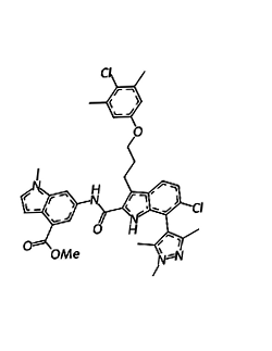 COC(=O)c1cc(NC(=O)c2[nH]c3c(-c4c(C)nn(C)c4C)c(Cl)ccc3c2CCCOc2cc(C)c(Cl)c(C)c2)cc2c1ccn2C